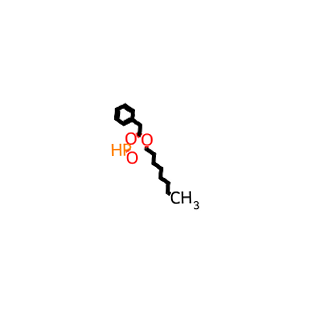 CCCCCCCCOC(=O)Cc1ccccc1.O=P